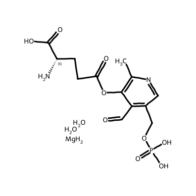 Cc1ncc(COP(=O)(O)O)c(C=O)c1OC(=O)CC[C@H](N)C(=O)O.O.O.[MgH2]